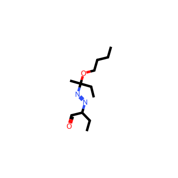 CCCCOC(C)(CC)N=NC(C=O)CC